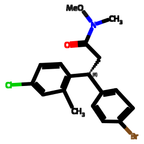 CON(C)C(=O)C[C@H](c1ccc(Br)cc1)c1ccc(Cl)cc1C